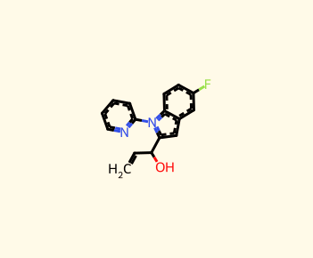 C=CC(O)c1cc2cc(F)ccc2n1-c1ccccn1